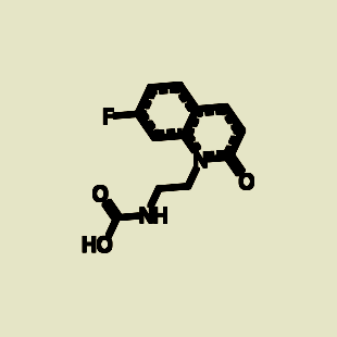 O=C(O)NCCn1c(=O)ccc2ccc(F)cc21